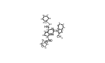 Cc1cc2ccccc2n1-c1nc(NCc2ccccc2)c2ccc(C(=O)N3CC4CC3CO4)n2n1